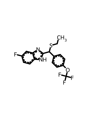 CCSC(c1ccc(OC(F)(F)F)cc1)c1nc2cc(F)ccc2[nH]1